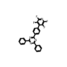 Fc1nc(F)c(F)c(-c2ccc(-c3nc(-c4ccccc4)nc(-c4ccccc4)n3)cc2)c1F